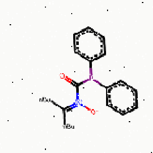 CCCCC(CCCC)=[N+]([O-])C(=O)P(c1ccccc1)c1ccccc1